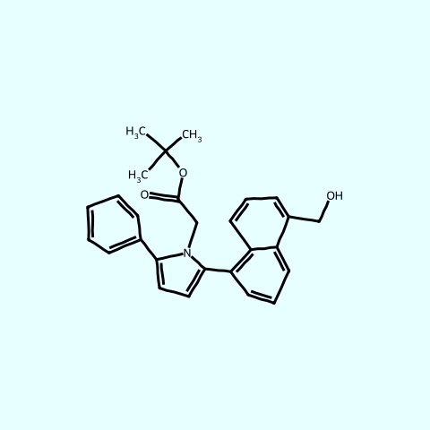 CC(C)(C)OC(=O)Cn1c(-c2ccccc2)ccc1-c1cccc2c(CO)cccc12